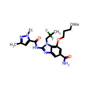 CCn1nc(C)cc1C(=O)Nc1nc2cc(C(N)=O)cc(OCCCOC)c2n1CC(C)(F)F